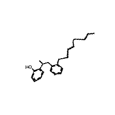 CCCCCCCCc1ccccc1CC(C)c1ccccc1O